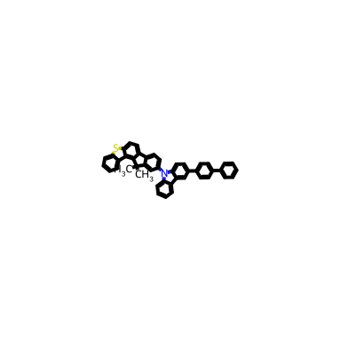 CC1(C)c2cc(-n3c4ccccc4c4cc(-c5ccc(-c6ccccc6)cc5)ccc43)ccc2-c2ccc3sc4ccccc4c3c21